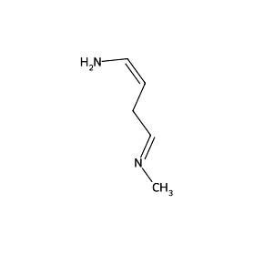 C/N=C/C/C=C\N